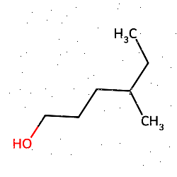 CC[C](C)CCCO